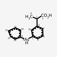 CC(C(=O)O)c1cccc([AsH]c2ccccc2)c1